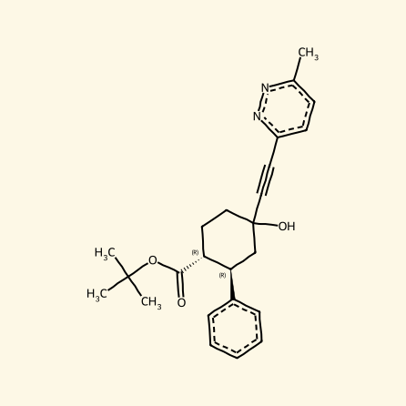 Cc1ccc(C#CC2(O)CC[C@@H](C(=O)OC(C)(C)C)[C@H](c3ccccc3)C2)nn1